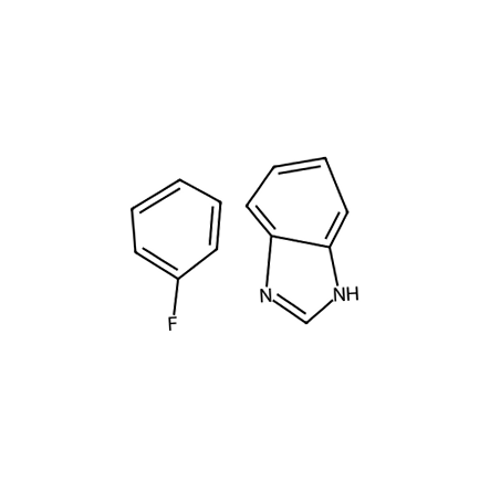 Fc1ccccc1.c1ccc2[nH]cnc2c1